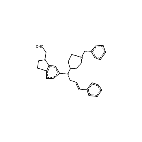 O=CCN1CCc2ccc(N(C/C=C/c3ccccc3)C3CCN(Cc4ccccc4)CC3)cc21